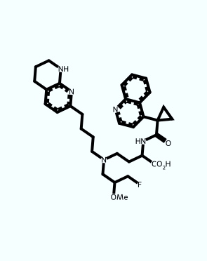 COC(CF)CN(CCCCc1ccc2c(n1)NCCC2)CCC(NC(=O)C1(c2ccnc3ccccc23)CC1)C(=O)O